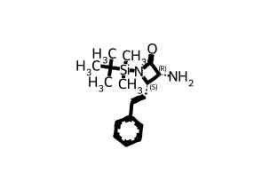 CC(C)(C)[Si](C)(C)N1C(=O)[C@H](N)[C@@H]1C=Cc1ccccc1